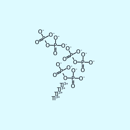 O=P([O-])([O-])OP(=O)([O-])[O-].O=P([O-])([O-])OP(=O)([O-])[O-].O=P([O-])([O-])OP(=O)([O-])[O-].[Tl+3].[Tl+3].[Tl+3].[Tl+3]